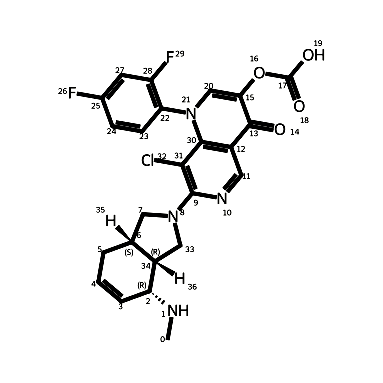 CN[C@@H]1C=CC[C@@H]2CN(c3ncc4c(=O)c(OC(=O)O)cn(-c5ccc(F)cc5F)c4c3Cl)C[C@@H]21